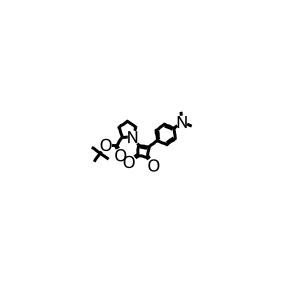 CN(C)c1ccc(-c2c(N3CCCC3C(=O)OC(C)(C)C)c(=O)c2=O)cc1